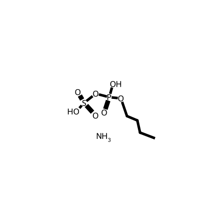 CCCCOP(=O)(O)OS(=O)(=O)O.N